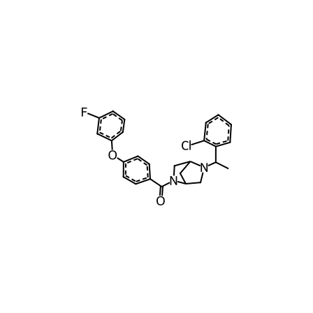 CC(c1ccccc1Cl)N1CC2CC1CN2C(=O)c1ccc(Oc2cccc(F)c2)cc1